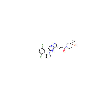 CC1(O)CCN(C(=O)/C=C/c2cnn3ccc(N4CCC[C@@H]4c4cc(F)ccc4F)nc23)CC1